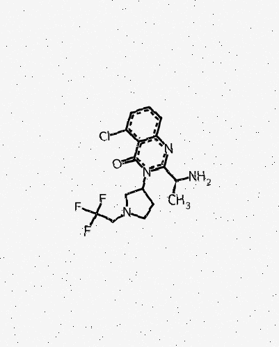 C[C@H](N)c1nc2cccc(Cl)c2c(=O)n1C1CCN(CC(F)(F)F)C1